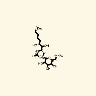 CCCCCCCCCCCCCC[C@@H](O)C(O)[C@H](COC1OC(CNC(C)=O)C(O)C(O)C1O)NC(=O)CCCCCCC